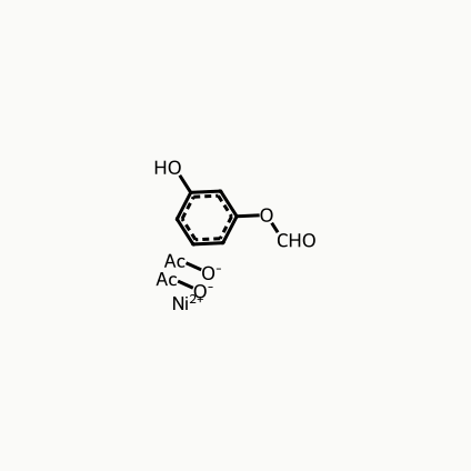 CC(=O)[O-].CC(=O)[O-].O=COc1cccc(O)c1.[Ni+2]